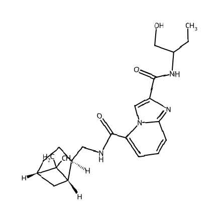 CCC(CO)NC(=O)c1cn2c(C(=O)NC[C@@H]3CC[C@H]4C[C@@H]3C4(C)C)cccc2n1